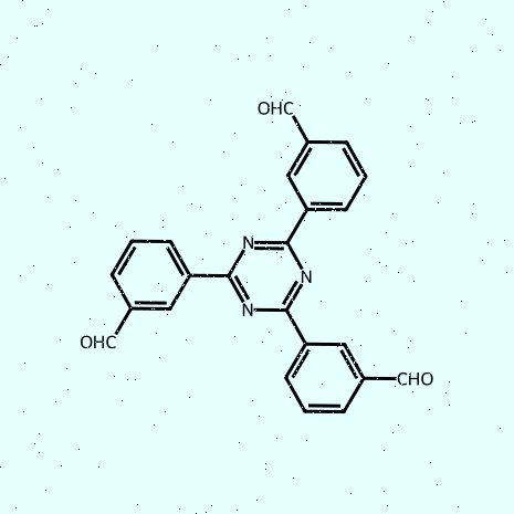 O=Cc1cccc(-c2nc(-c3cccc(C=O)c3)nc(-c3cccc(C=O)c3)n2)c1